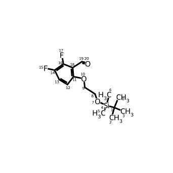 CC(C)(C)[Si](C)(C)OCCOc1ccc(F)c(F)c1C=O